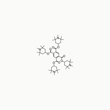 CN1C(C)(C)CC(OC(=O)c2cc(C(=O)OC3CC(C)(C)N(C)C(C)(C)C3)c(C(=O)OC3CC(C)(C)N(C)C(C)(C)C3)cc2C(=O)OC2CC(C)(C)N(C)C(C)(C)C2)CC1(C)C